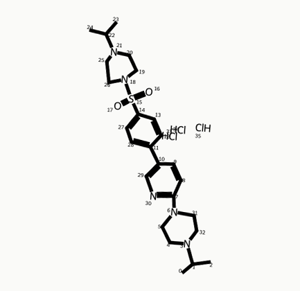 CC(C)N1CCN(c2ccc(-c3ccc(S(=O)(=O)N4CCN(C(C)C)CC4)cc3)cn2)CC1.Cl.Cl.Cl